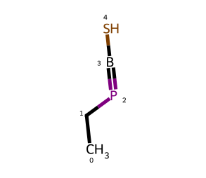 CCP=BS